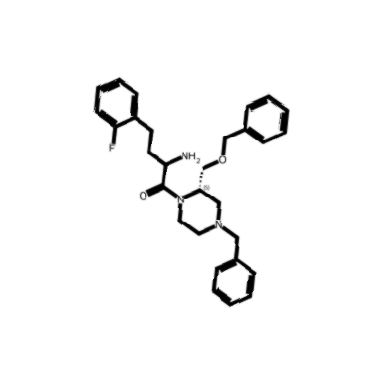 NC(CCc1ccccc1F)C(=O)N1CCN(Cc2ccccc2)C[C@H]1COCc1ccccc1